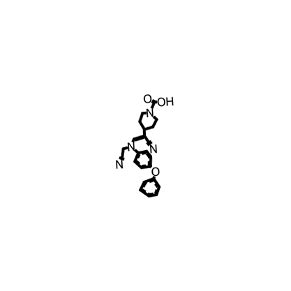 N#CCN(C=C(C#N)C1CCN(C(=O)O)CC1)c1ccc(Oc2ccccc2)cc1